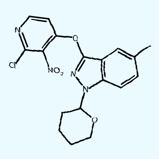 Cc1ccc2c(c1)c(Oc1ccnc(Cl)c1[N+](=O)[O-])nn2C1CCCCO1